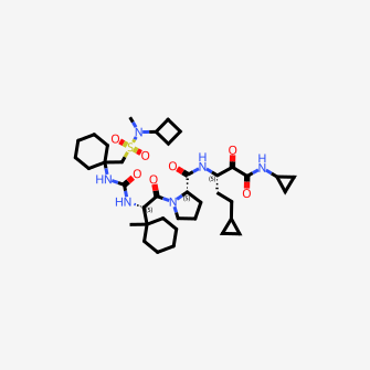 CN(C1CCC1)S(=O)(=O)CC1(NC(=O)N[C@H](C(=O)N2CCC[C@H]2C(=O)N[C@@H](CCC2CC2)C(=O)C(=O)NC2CC2)C2(C)CCCCC2)CCCCC1